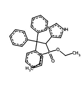 CCOP(=O)(OCC)C(c1c[nH]cn1)C(c1ccccc1)(c1ccccc1)c1ccccc1